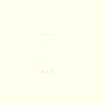 CCCCCOc1[c]cccc1OCCCCC